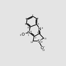 [O-][n+]1c2c(nc3ccccc31)C[S+]([O-])C2